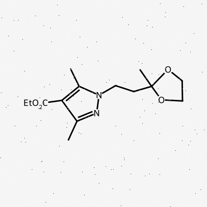 CCOC(=O)c1c(C)nn(CCC2(C)OCCO2)c1C